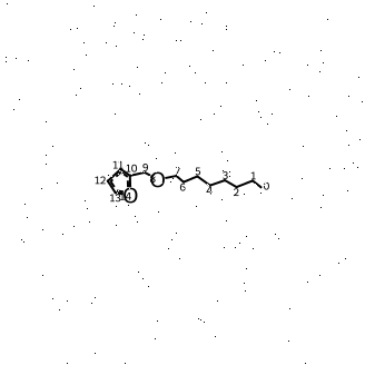 CCCCCCCCOCc1ccco1